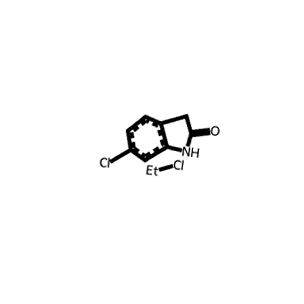 CCCl.O=C1Cc2ccc(Cl)cc2N1